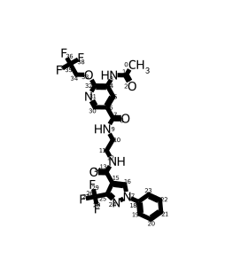 CC(=O)Nc1cc(C(=O)NCCNC(=O)c2cn(-c3ccccc3)nc2C(F)(F)F)cnc1OCC(F)(F)F